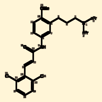 CCCN(CCC)CCCc1cc(NC(=O)C=Cc2c(Cl)cccc2Cl)ccc1OC